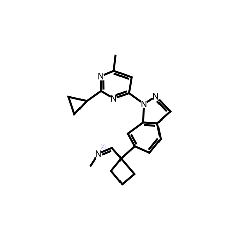 C/N=C\C1(c2ccc3cnn(-c4cc(C)nc(C5CC5)n4)c3c2)CCC1